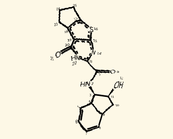 O=C(N[C@@H]1C2C=CC=CC2C[C@@H]1O)c1nc2sc3c(c2c(=O)[nH]1)CCC3